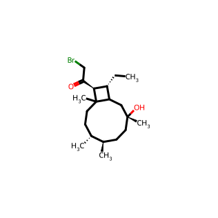 CC[C@@H]1C2C[C@](C)(O)CC[C@@H](C)[C@H](C)CCC2(C)[C@H]1C(=O)CBr